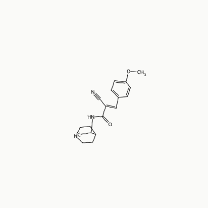 COc1ccc(C=C(C#N)C(=O)NC2CN3CCC2CC3)cc1